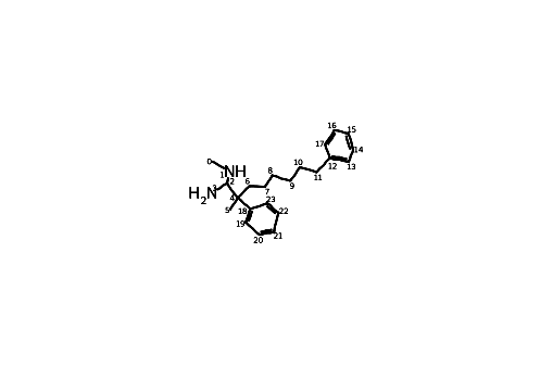 CNC(N)C(C)(CCCCCCc1ccccc1)c1ccccc1